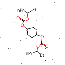 CCCC(CC)OC(=O)OC1CCC(OC(=O)OC(CC)CCC)CC1